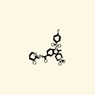 CC1N(S(=O)(=O)c2ccc(F)cc2)c2ccc(C(=O)NCc3ncccc3Cl)cc2C12CCS(=O)(=O)CC2